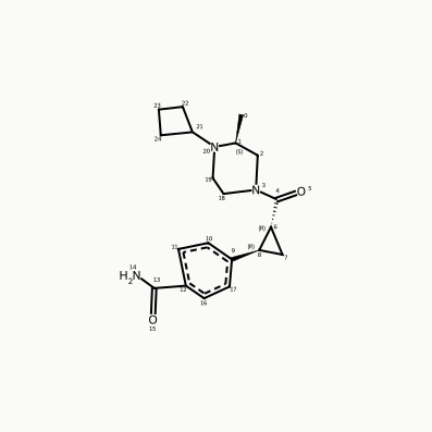 C[C@H]1CN(C(=O)[C@@H]2C[C@H]2c2ccc(C(N)=O)cc2)CCN1C1CCC1